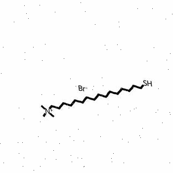 C[N+](C)(C)CCCCCCCCCCCCCCCCS.[Br-]